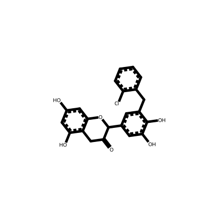 O=C1Cc2c(O)cc(O)cc2OC1c1cc(O)c(O)c(Cc2ccccc2Cl)c1